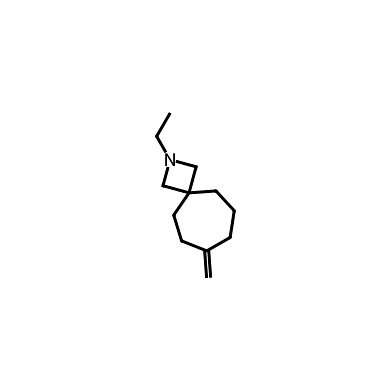 C=C1CCCC2(CC1)CN(CC)C2